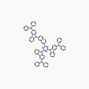 c1ccc(N(c2ccccc2)c2ccc3c(c2)c2ccccc2n3-c2ccc3ccc(-c4nc(-n5c6ccccc6c6cc(N(c7ccccc7)c7ccccc7)ccc65)nc(-n5c6ccccc6c6cc(N(c7ccccc7)c7ccccc7)ccc65)n4)cc3c2)cc1